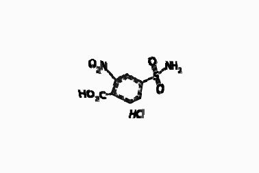 Cl.NS(=O)(=O)c1ccc(C(=O)O)c([N+](=O)[O-])c1